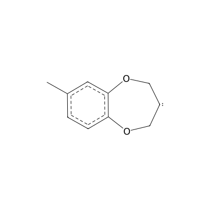 Cc1ccc2c(c1)OC[C]CO2